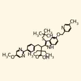 CCC(CC)(C(=O)O)C(Cc1ccc(-c2ncc(OC)cn2)cc1)c1[nH]c2ccc(OCc3ccc(C)cn3)cc2c1SC(C)(C)C